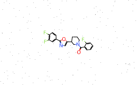 O=C(c1ccccc1F)N1CCCC(c2cnc(-c3ccc(F)c(F)c3)o2)C1